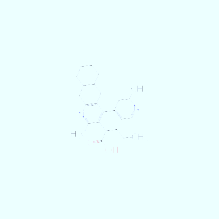 CCCC(C(=O)O)c1c(C)nc2c(c1C1=CC=NC(C)C1)CC1CCCCC1C2